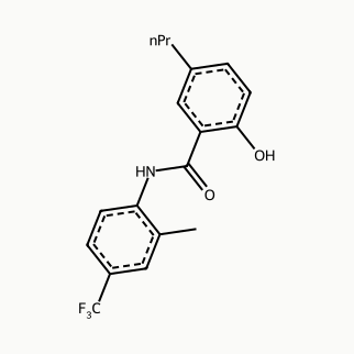 CCCc1ccc(O)c(C(=O)Nc2ccc(C(F)(F)F)cc2C)c1